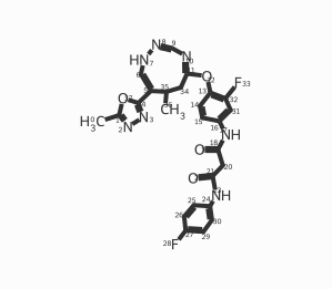 Cc1nnc(/C2=C/N/N=C\N=C(\Oc3ccc(NC(=O)CC(=O)Nc4ccc(F)cc4)cc3F)CC2C)o1